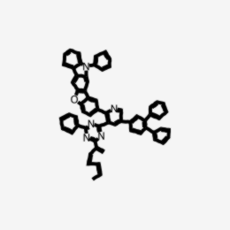 C=C(/C=C\C=C/C)c1nc(-c2ccccc2)nc(-c2cc(-c3ccc(-c4ccccc4)c(-c4ccccc4)c3)cnc2-c2ccc3oc4cc5c6ccccc6n(-c6ccccc6)c5cc4c3c2)n1